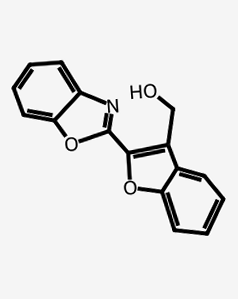 OCc1c(-c2nc3ccccc3o2)oc2ccccc12